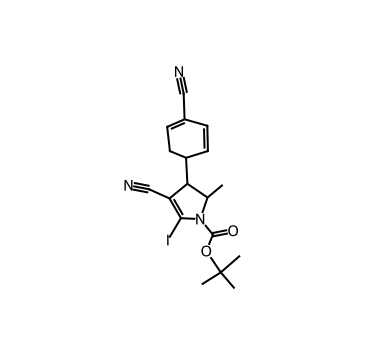 CC1C(C2C=CC(C#N)=CC2)C(C#N)=C(I)N1C(=O)OC(C)(C)C